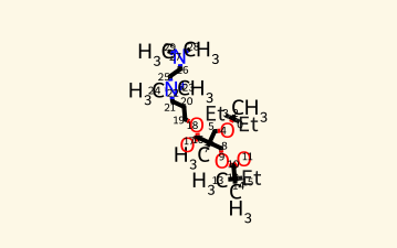 CCC(C)(CC)OCC(C)(COC(=O)C(C)(C)CC)C(=O)OCCC[N+](C)(C)CCN(C)C